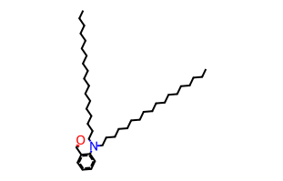 CCCCCCCCCCCCCCCCCCN(CCCCCCCCCCCCCCCCCC)c1ccccc1C=O